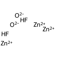 F.F.[O-2].[O-2].[Zn+2].[Zn+2].[Zn+2]